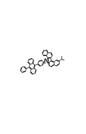 CC(C)c1ccc2ccc3c(c2c1)c1ccc2ccccc2c1n3-c1ccc(-c2c3ccccc3c(-c3ccccc3)c3ccccc23)cc1